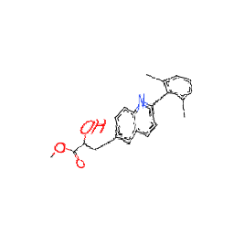 COC(=O)C(O)Cc1ccc2nc(-c3c(C)cccc3C)ccc2c1